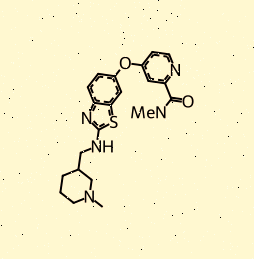 CNC(=O)c1cc(Oc2ccc3nc(NCC4CCCN(C)C4)sc3c2)ccn1